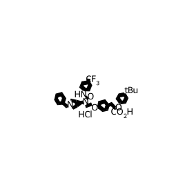 CC(C)(C)c1ccc(O[C@@H](Cc2ccc(OCCN(C(=O)Nc3ccc(C(F)(F)F)cc3)C3C4CN(Cc5ccccc5)CC43)cc2)C(=O)O)cc1.Cl